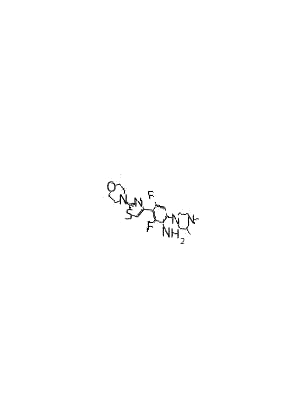 CC1CN(c2cc(F)c(-c3csc(N4C[C@@H](C)O[C@@H](C)C4)n3)c(F)c2N)CCN1C